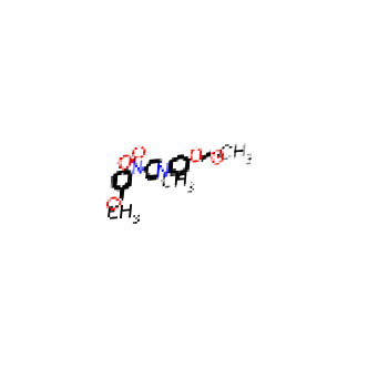 COCCO[C@H]1CC[C@](C)(N2CCC(n3c(=O)oc4ccc(COC)cc43)CC2)CC1